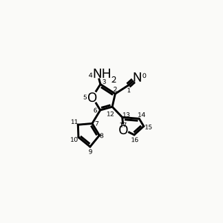 N#Cc1c(N)oc(C2=CC=CC2)c1-c1ccco1